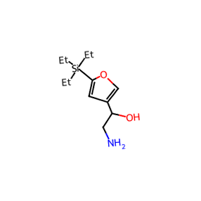 CC[Si](CC)(CC)c1cc(C(O)CN)co1